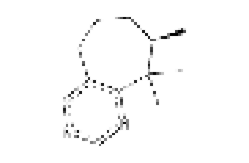 C[C@@H]1CCCc2cncnc2C1(C)C